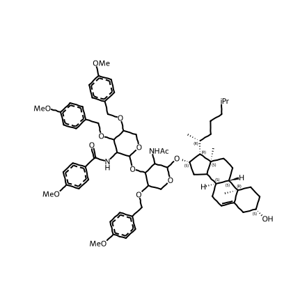 COc1ccc(COC2COC(OC3C(OCc4ccc(OC)cc4)COC(O[C@H]4CC5[C@@H]6CC=C7C[C@@H](O)CC[C@]7(C)[C@H]6CC[C@]5(C)[C@H]4[C@H](C)CCCC(C)C)C3NC(C)=O)C(NC(=O)c3ccc(OC)cc3)C2OCc2ccc(OC)cc2)cc1